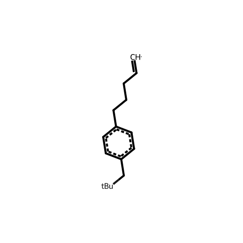 [CH]=CCCCc1ccc(CC(C)(C)C)cc1